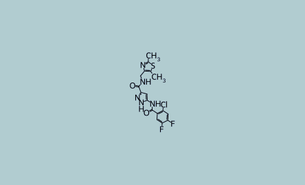 Cc1nc(CNC(=O)c2cc(NC(=O)c3cc(F)c(F)cc3Cl)[nH]n2)c(C)s1